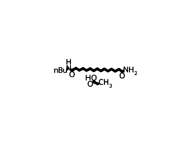 CCC(=O)O.CCCCNC(=O)CCCCCCCCCCCCCC(N)=O